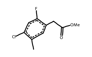 COC(=O)Cc1cc(C)c(Cl)cc1F